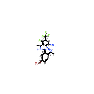 Cc1nnc(NC(C)c2cc(N)cc(C(F)(F)F)c2F)c2cc(Br)ccc12